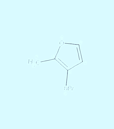 C[CH]Cc1ccoc1C